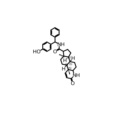 C[C@]12C=CC(=O)NC1CC[C@@H]1[C@H]2CC[C@]2(C)C(C(=O)NC(c3ccccc3)c3ccc(O)cc3)CC[C@@H]12